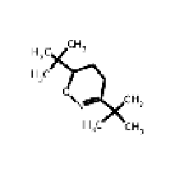 CC(C)(C)C1=NOC(C(C)(C)C)CC1